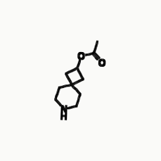 CC(=O)OC1CC2(CCNCC2)C1